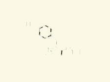 N[C@@H](Cc1ccc(O)cc1)C(=O)OP